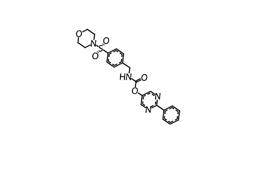 O=C(NCc1ccc(S(=O)(=O)N2CCOCC2)cc1)Oc1cnc(-c2ccccc2)nc1